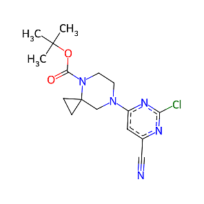 CC(C)(C)OC(=O)N1CCN(c2cc(C#N)nc(Cl)n2)CC12CC2